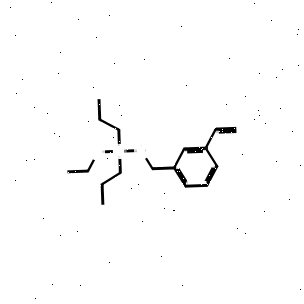 C=Cc1cccc(CO[Si](CCC)(CCC)OCC)c1